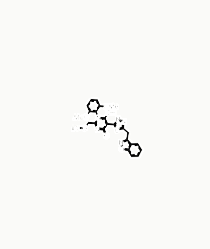 COc1cccc(OC)c1-n1c(COC(C)C)nc(=O)c(-c2nnc(Cc3noc4ccccc34)o2)c1O